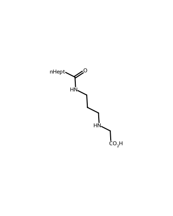 CCCCCCCC(=O)NCCCNCC(=O)O